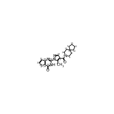 Cc1c(C(=O)N2CCC3(CCCC3)CC2)cnn1-c1nc2ccsc2c(=O)[nH]1